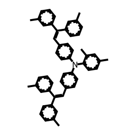 Cc1cccc(C(=Cc2ccc(N(c3ccc(C=C(c4cccc(C)c4)c4cccc(C)c4)cc3)c3ccc(C)cc3C)cc2)c2cccc(C)c2)c1